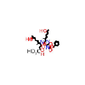 CC(O)CCC[C@H](C)[C@@H](C(=O)CC(O)C(=O)O)N(C)C(=O)[C@H]([C@@H](C)CCCC(C)O)N(C)C(=O)[C@H](C)N(C)C(=O)OCc1ccccc1